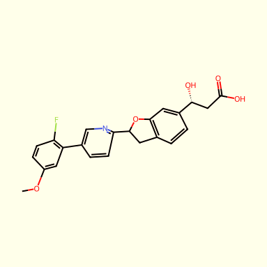 COc1ccc(F)c(-c2ccc(C3Cc4ccc([C@H](O)CC(=O)O)cc4O3)nc2)c1